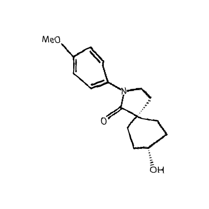 COc1ccc(N2CC[C@]3(CC[C@@H](O)CC3)C2=O)cc1